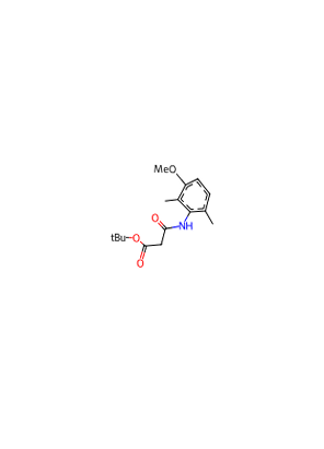 COc1ccc(C)c(NC(=O)CC(=O)OC(C)(C)C)c1C